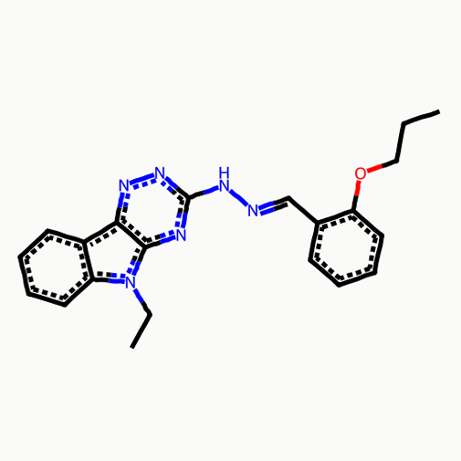 CCCOc1ccccc1C=NNc1nnc2c3ccccc3n(CC)c2n1